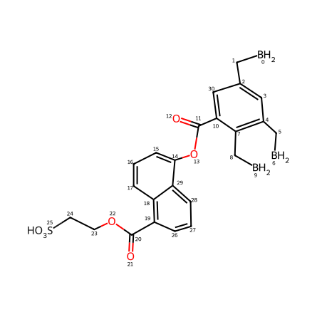 BCc1cc(CB)c(CB)c(C(=O)Oc2cccc3c(C(=O)OCCS(=O)(=O)O)cccc23)c1